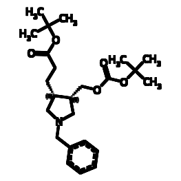 CC(C)(C)OC(=O)CC[C@H]1CN(Cc2ccccc2)C[C@H]1COC(=O)OC(C)(C)C